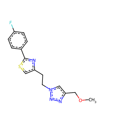 COCc1cn(CCc2csc(-c3ccc(F)cc3)n2)nn1